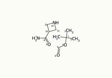 CC(C)(C)OC=O.NC(=O)C1CNC1